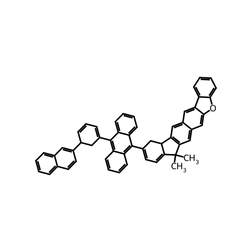 CC1(C)C2=CC=C(c3c4ccccc4c(C4=CC=CC(c5ccc6ccccc6c5)C4)c4ccccc34)CC2c2cc3cc4c(cc3cc21)oc1ccccc14